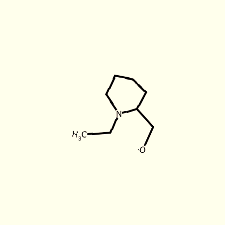 CCN1CCCCC1C[O]